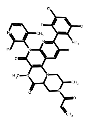 C=CC(=O)N1CC2C(=O)N(C)c3c(c4cc(F)c(-c5c(N)c(Cl)cc(Cl)c5F)nc4n(-c4c(C)ccnc4C(C)C)c3=O)N2CC1C